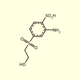 Nc1cc(S(=O)(=O)CCO)ccc1S(=O)(=O)O